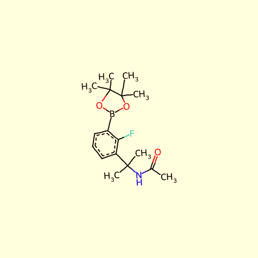 CC(=O)NC(C)(C)c1cccc(B2OC(C)(C)C(C)(C)O2)c1F